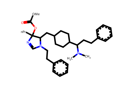 CCCC1(OC(=O)OC)N=CN(CCc2ccccc2)C1CC1CCC(C(CCc2ccccc2)N(C)C)CC1